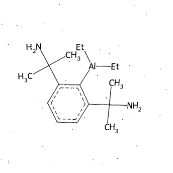 C[CH2][Al]([CH2]C)[c]1c(C(C)(C)N)cccc1C(C)(C)N